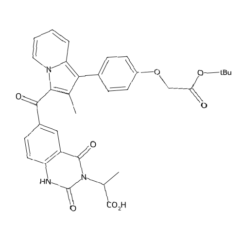 Cc1c(-c2ccc(OCC(=O)OC(C)(C)C)cc2)c2ccccn2c1C(=O)c1ccc2[nH]c(=O)n(C(C)C(=O)O)c(=O)c2c1